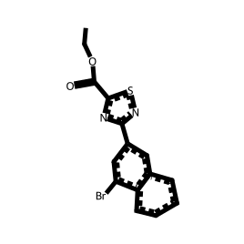 CCOC(=O)c1nc(-c2cc(Br)c3ccccc3c2)ns1